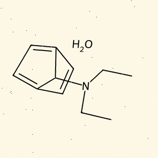 CCN(CC)C1C2=CC=C1C=C2.O